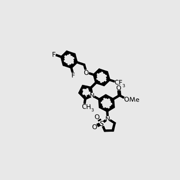 COC(=O)c1cc(N2CCCS2(=O)=O)cc(-n2c(C)ccc2-c2cc(C(F)(F)F)ccc2OCc2ccc(F)cc2F)c1